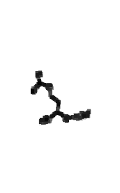 CCCCCCCCSC(CCCC)CCOC(=O)CC